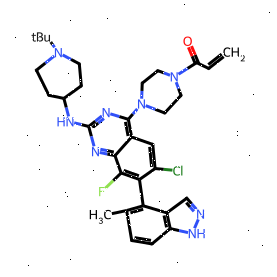 C=CC(=O)N1CCN(c2nc(NC3CCN(C(C)(C)C)CC3)nc3c(F)c(-c4c(C)ccc5[nH]ncc45)c(Cl)cc23)CC1